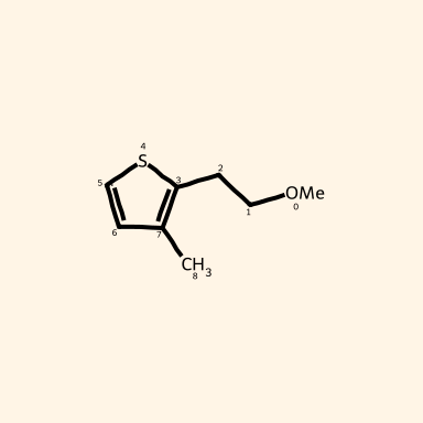 COCCc1s[c]cc1C